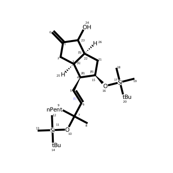 C=C1C[C@@H]2[C@H](/C=C/C(C)(CCCCC)O[Si](C)(C)C(C)(C)C)[C@H](O[Si](C)(C)C(C)(C)C)C[C@@H]2C1O